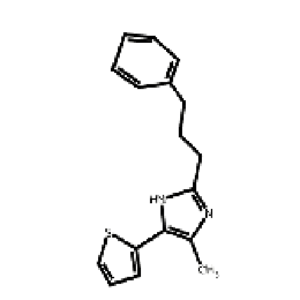 Cc1nc(CCCc2ccccc2)[nH]c1-c1cccs1